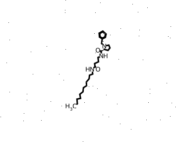 CCCCCCCCCCCCNC(=O)CCCNC(=O)[C@@H]1CCCN1Cc1ccccc1